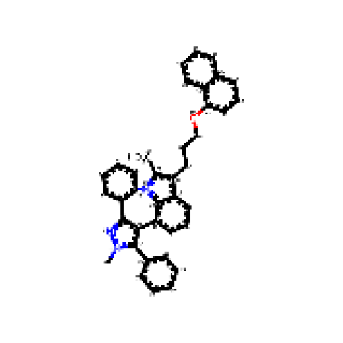 Cn1nc(-c2ccccc2)c(-c2cccc3c(CCCOc4cccc5ccccc45)c(C(=O)O)[nH]c23)c1-c1ccccc1